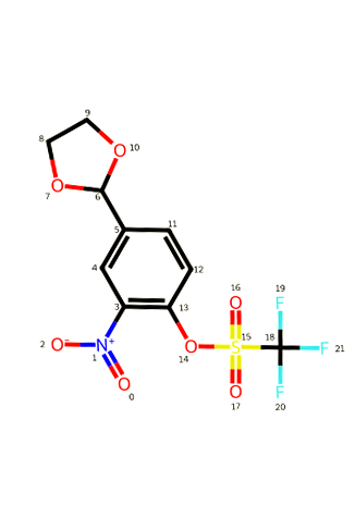 O=[N+]([O-])c1cc(C2OCCO2)ccc1OS(=O)(=O)C(F)(F)F